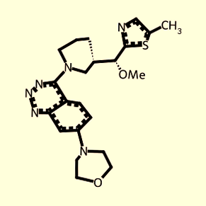 CO[C@@H](c1ncc(C)s1)[C@H]1CCCN(c2nnnc3cc(N4CCOCC4)ccc23)C1